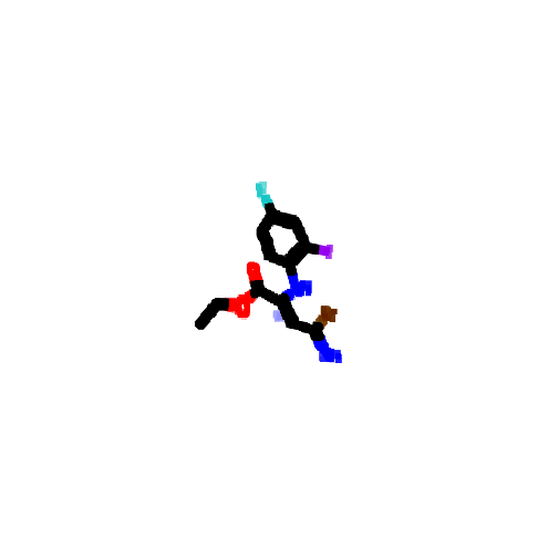 CCOC(=O)/C(=C/C(=N)Br)Nc1ccc(F)cc1I